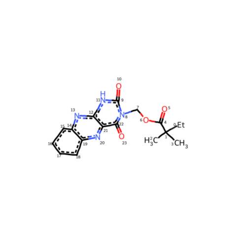 CCC(C)(C)C(=O)OCn1c(=O)[nH]c2nc3ccccc3nc2c1=O